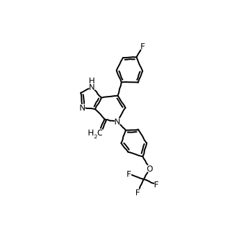 C=C1c2nc[nH]c2C(c2ccc(F)cc2)=CN1c1ccc(OC(F)(F)F)cc1